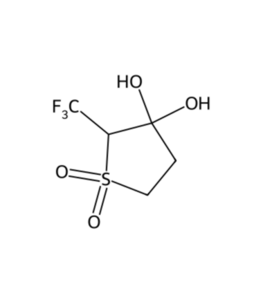 O=S1(=O)CCC(O)(O)C1C(F)(F)F